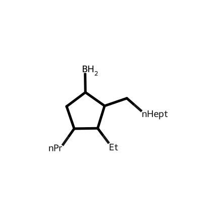 BC1CC(CCC)C(CC)C1CCCCCCCC